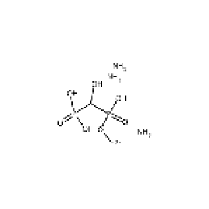 CCCOP(=O)(O)C(O)P(=O)(O)O.N.N.N